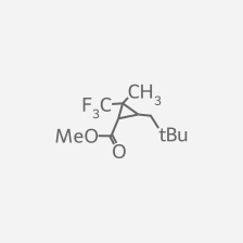 COC(=O)C1C(CC(C)(C)C)C1(C)C(F)(F)F